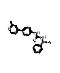 Cc1cc(-c2ccc(NC(=O)NC(c3ccccc3)C(C)C)cc2)ccn1